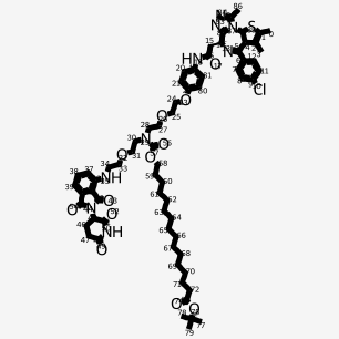 CC1=C(C)C2C(c3ccc(Cl)cc3)=N[C@@H](CC(=O)Nc3ccc(OCCOCCN(CCOCCNc4cccc5c4C(=O)N(C4CCC(=O)NC4=O)C5=O)C(=O)OCCCCCCCCCCCCCCCC(=O)OC(C)(C)C)cc3)c3nnc(C)n3C2S1